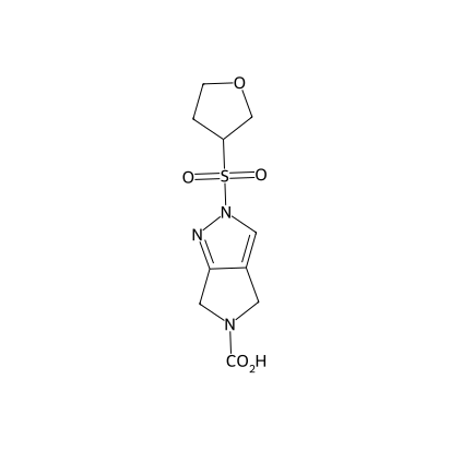 O=C(O)N1Cc2cn(S(=O)(=O)C3CCOC3)nc2C1